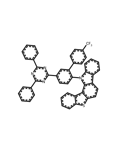 FC(F)(F)c1ccc(-c2cc(-c3nc(-c4ccccc4)nc(-c4ccccc4)n3)ccc2-n2c3ccccc3c3ccc4sc5ccccc5c4c32)cc1